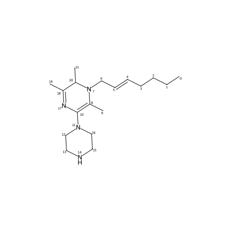 CCCCC=CCN1C(C)=C(N2CCNCC2)N=C(C)C1C